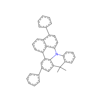 CC1(C)c2ccccc2N2c3c(cc(-c4ccccc4)cc31)-c1cccc3c(-c4ccccc4)ccc2c13